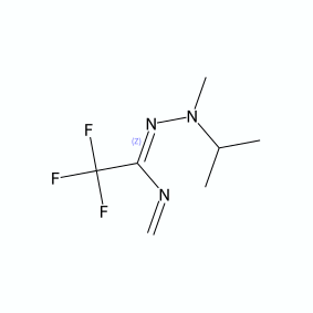 C=N/C(=N\N(C)C(C)C)C(F)(F)F